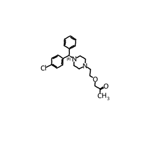 CC(=O)COCCN1CCN([C@H](c2ccccc2)c2ccc(Cl)cc2)CC1